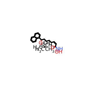 CC(C)(C)[Si](C)(C)OC(CCCC/C=C\C(=O)NO)c1cccc2ccccc12